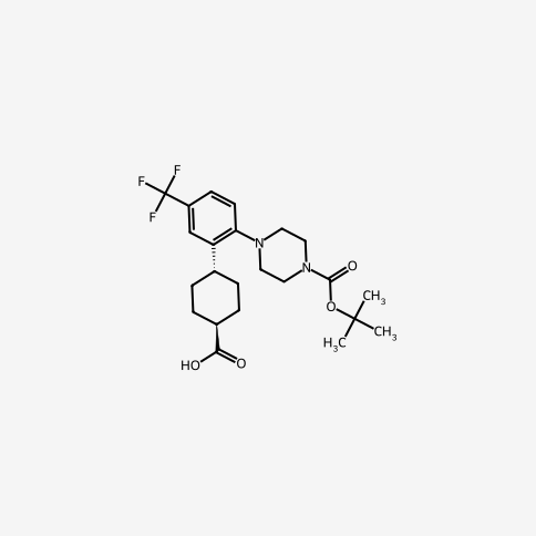 CC(C)(C)OC(=O)N1CCN(c2ccc(C(F)(F)F)cc2[C@H]2CC[C@H](C(=O)O)CC2)CC1